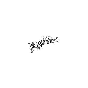 CC1Cc2c(ncnc2Oc2ccc3c(ccn3C(=O)Nc3cc(C4CC4)on3)c2)CN1C(=O)C1CCC1